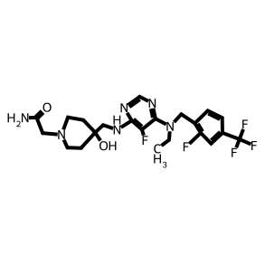 CCN(Cc1ccc(C(F)(F)F)cc1F)c1ncnc(NCC2(O)CCN(CC(N)=O)CC2)c1F